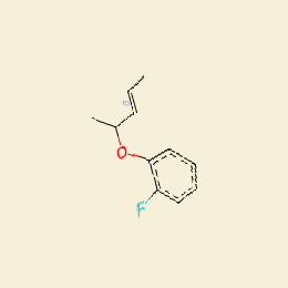 C/C=C/C(C)Oc1ccccc1F